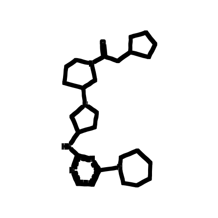 O=C(CC1CCCC1)N1CCCC(N2CCC(Nc3nccc(N4CCCCCC4)n3)C2)C1